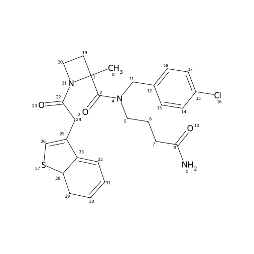 CC1(C(=O)N(CCCC(N)=O)Cc2ccc(Cl)cc2)CCN1C(=O)CC1=CSC2CC=CC=C12